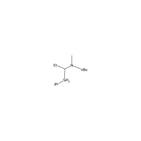 CCCCN(C)C(CC)[SiH2]C(C)C